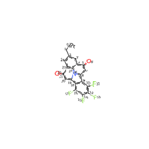 CC(C)Cc1cc2c(=O)cc3c4c(F)c(F)c(F)c(F)c4c4cc(=O)c(c1)c2n34